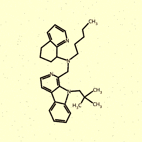 CCCCCN(Cc1nccc2c3ccccc3n(CC(C)(C)C)c12)C1CCCc2cccnc21